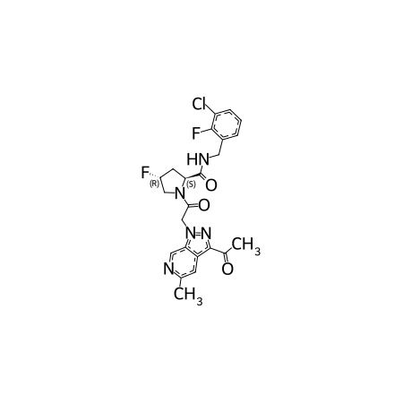 CC(=O)c1nn(CC(=O)N2C[C@H](F)C[C@H]2C(=O)NCc2cccc(Cl)c2F)c2cnc(C)cc12